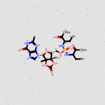 COC(=O)C(CC(C)C)NP(=O)(NC(CC(C)C)C(=O)OC)OC[C@H]1O[C@@H](n2cnc3c(=O)[nH]c(C)nc32)C2(C)OC(=O)O[C@@H]12